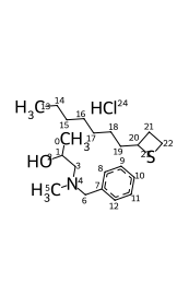 CC(O)CN(C)Cc1ccccc1.CCCCCCCC1CCS1.Cl